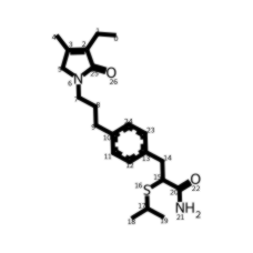 CCC1=C(C)CN(CCCc2ccc(CC(SC(C)C)C(N)=O)cc2)C1=O